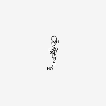 O=C(NS(=O)(=O)N1CCN(CCOCCO)CC1)OC[C@@H]1[C@@H]2CCC#CCC[C@@H]21